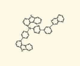 c1cc(-c2ccc(N(c3ccc(-c4cccc5sc6ccccc6c45)cc3)c3cccc4sc5ccccc5c34)cc2)cc(-c2ccc3ccccc3c2)c1